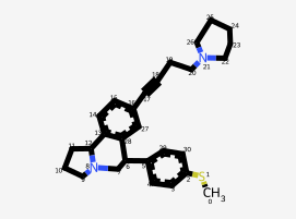 CSc1ccc(C2CN3CCCC3c3ccc(C#CCCN4CCCCC4)cc32)cc1